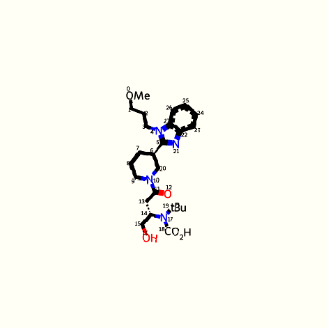 COCCCn1c([C@@H]2CCCN(C(=O)C[C@@H](CO)N(C(=O)O)C(C)(C)C)C2)nc2ccccc21